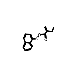 C=C(CC)C(=O)OSc1cccc2ccccc12